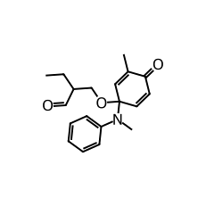 CCC(C=O)COC1(N(C)c2ccccc2)C=CC(=O)C(C)=C1